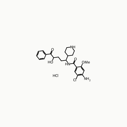 COc1cc(N)c(Cl)cc1C(=O)NC(CCC(O)C(=O)c1ccccc1)C1CCNCC1.Cl